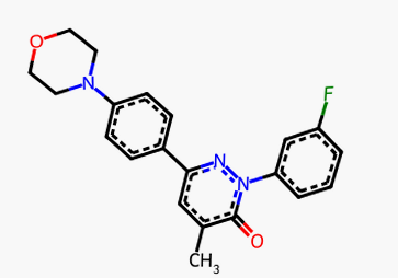 Cc1cc(-c2ccc(N3CCOCC3)cc2)nn(-c2cccc(F)c2)c1=O